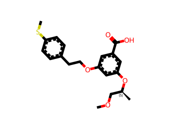 COC[C@H](C)Oc1cc(OCCc2ccc(SC)cc2)cc(C(=O)O)c1